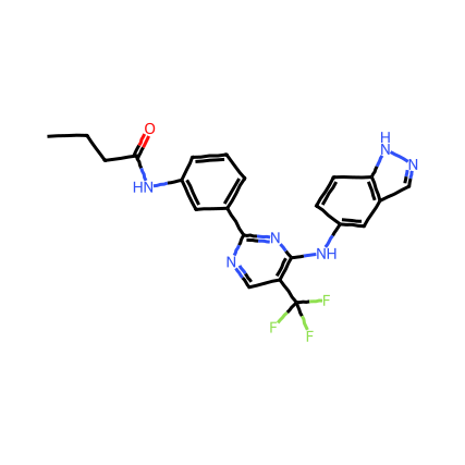 CCCC(=O)Nc1cccc(-c2ncc(C(F)(F)F)c(Nc3ccc4[nH]ncc4c3)n2)c1